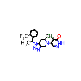 C[C@@H]1Cc2c(nnn2[C@@H](C)c2ccccc2C(F)(F)F)CN1c1cn[nH]c(=O)c1Cl